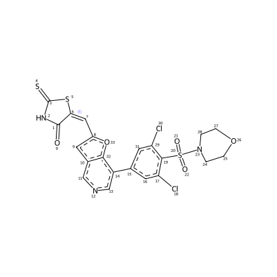 O=C1NC(=S)S/C1=C/c1cc2cncc(-c3cc(Cl)c(S(=O)(=O)N4CCOCC4)c(Cl)c3)c2o1